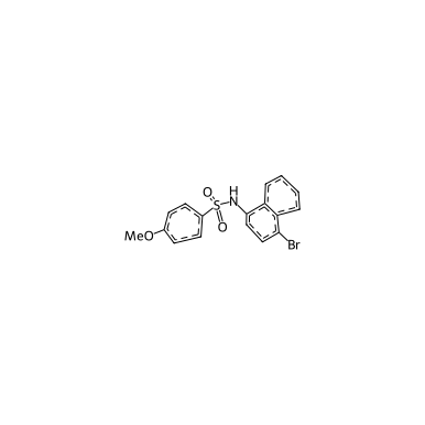 COc1ccc(S(=O)(=O)Nc2ccc(Br)c3ccccc23)cc1